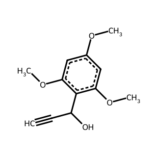 C#CC(O)c1c(OC)cc(OC)cc1OC